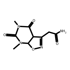 CN1C(=O)C2C(CC(N)=O)=NOC2N(C)C1=O